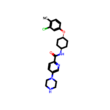 N#Cc1ccc(O[C@H]2CC[C@H](NC(=O)c3ccc(N4CCNCC4)cn3)CC2)cc1Cl